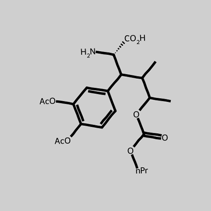 CCCOC(=O)OC(C)C(C)C(c1ccc(OC(C)=O)c(OC(C)=O)c1)[C@H](N)C(=O)O